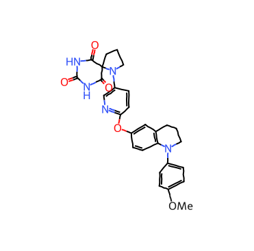 COc1ccc(N2CCCc3cc(Oc4ccc(N5CCCC56C(=O)NC(=O)NC6=O)cn4)ccc32)cc1